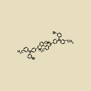 CCc1cccc(N(c2ccc(-c3ccc4c(-c5c(C)ccc6cc(-c7ccc(N(c8cccc(C)c8)c8cccc(Br)c8)cc7)ccc56)c(C)ccc4c3)cc2)c2cccc(Br)c2)c1